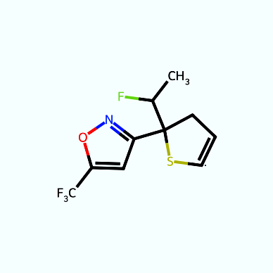 CC(F)C1(c2cc(C(F)(F)F)on2)CC=[C]S1